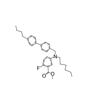 CCCCCCN(Cc1ccc(-c2ccc(CCCC)cc2)cc1)c1ccc(F)c(C(=O)OC)c1